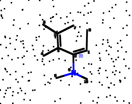 C/C=C(\C(C)=C(C)C)N(C)C